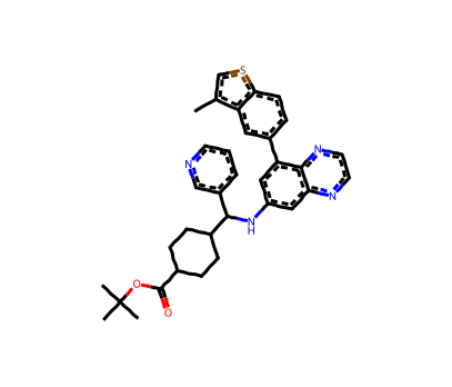 Cc1csc2ccc(-c3cc(NC(c4cccnc4)C4CCC(C(=O)OC(C)(C)C)CC4)cc4nccnc34)cc12